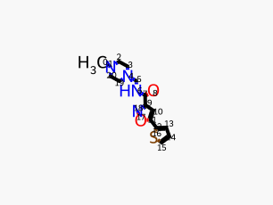 CN1CCN(CNC(=O)c2cc(-c3cccs3)on2)CC1